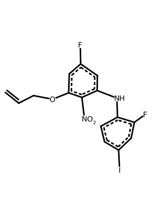 C=CCOc1cc(F)cc(Nc2ccc(I)cc2F)c1[N+](=O)[O-]